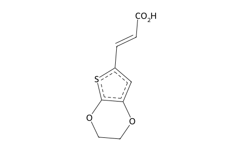 O=C(O)C=Cc1cc2c(s1)OCCO2